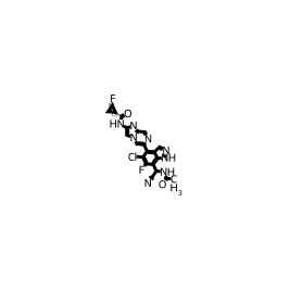 CC(=O)NC(C#N)c1c(F)c(Cl)c(-c2cn3cc(NC(=O)[C@@H]4C[C@@H]4F)nc3cn2)c2cn[nH]c12